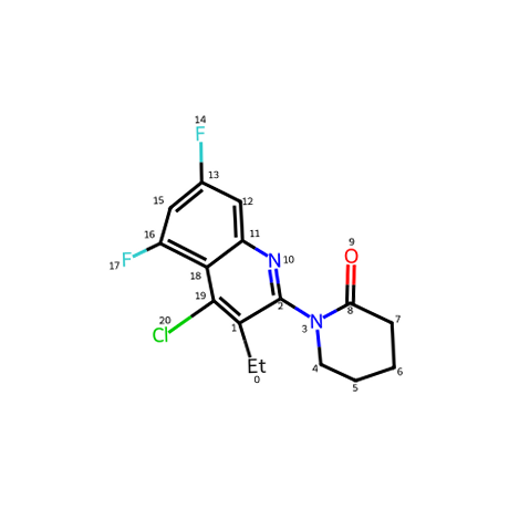 CCc1c(N2CCCCC2=O)nc2cc(F)cc(F)c2c1Cl